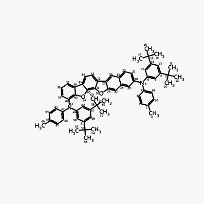 Cc1ccc(N(c2cc(C(C)(C)C)cc(C(C)(C)C)c2)c2ccc3cc4c(cc3c2)oc2c4ccc3c4cccc(N(c5ccc(C)cc5)c5cc(C(C)(C)C)cc(C(C)(C)C)c5)c4oc32)cc1